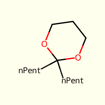 CCCCCC1(CCCCC)OCCCO1